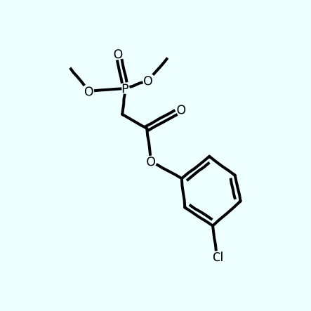 COP(=O)(CC(=O)Oc1cccc(Cl)c1)OC